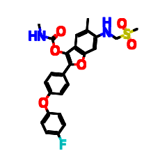 CNC(=O)Oc1c(-c2ccc(Oc3ccc(F)cc3)cc2)oc2cc(NCS(C)(=O)=O)c(C)cc12